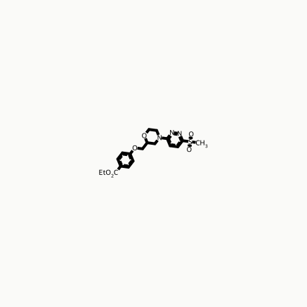 CCOC(=O)c1ccc(OCC2CN(c3ccc(S(C)(=O)=O)nn3)CCO2)cc1